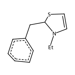 CCN1C=CSC1Cc1ccccc1